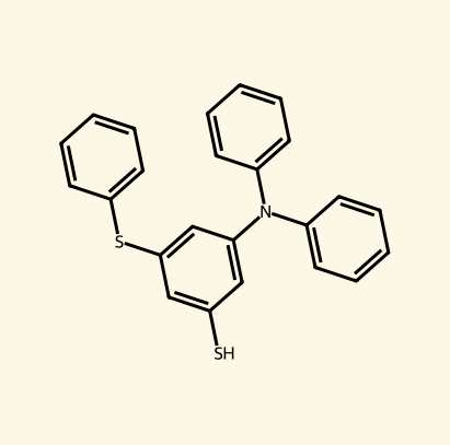 Sc1cc(Sc2ccccc2)cc(N(c2ccccc2)c2ccccc2)c1